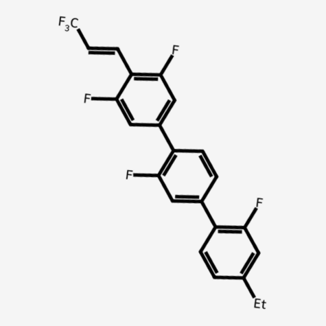 CCc1ccc(-c2ccc(-c3cc(F)c(/C=C/C(F)(F)F)c(F)c3)c(F)c2)c(F)c1